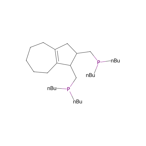 CCCCP(CCCC)CC1CC2=C(CCCCC2)C1CP(CCCC)CCCC